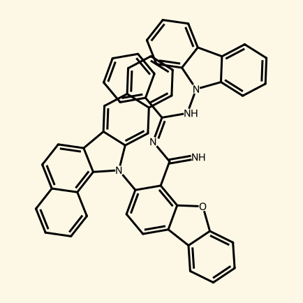 N=C(/N=C(\Nn1c2ccccc2c2ccccc21)c1ccccc1)c1c(-n2c3cc4ccccc4cc3c3ccc4ccccc4c32)ccc2c1oc1ccccc12